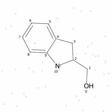 OCC1Cc2ccccc2[N]1